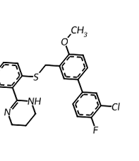 COc1ccc(-c2ccc(F)c(Cl)c2)cc1CSc1ccccc1C1=NCCCN1